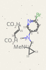 CNC1(CN(C)c2ccc(Br)nc2)CC1.O=C(O)C=CC(=O)O